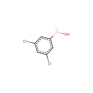 OBc1cc(Cl)cc(Cl)c1